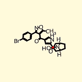 Cc1onc(-c2ccc(Br)cc2)c1C(=O)c1c[nH]c(C(=O)N2[C@@H]3CC[C@H]2CC(O)C3)c1